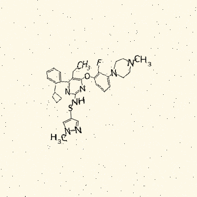 CCc1c(Oc2cccc(N3CCN(C)CC3)c2F)nc(NSc2cnn(C)c2)nc1-c1ccccc1C1CCC1